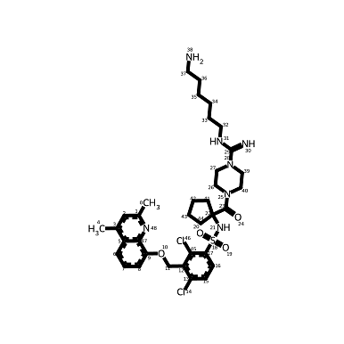 Cc1cc(C)c2cccc(OCc3c(Cl)ccc(S(=O)(=O)NC4(C(=O)N5CCN(C(=N)NCCCCCCN)CC5)CCCC4)c3Cl)c2n1